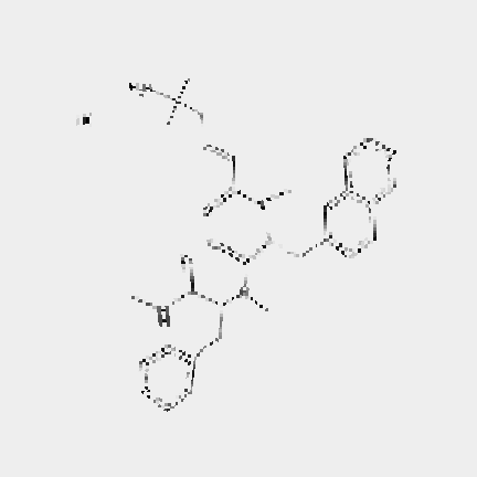 CNC(=O)[C@@H](Cc1ccccc1)N(C)C(=O)[C@@H](Cc1ccc2ccccc2c1)N(C)C(=O)C=CCC(C)(C)N.Cl